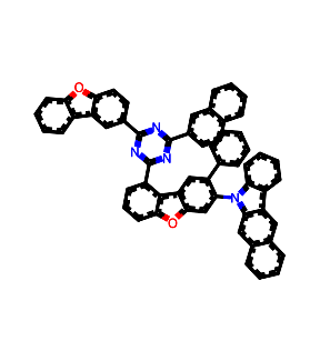 c1ccc(-c2cc3c(cc2-n2c4ccccc4c4cc5ccccc5cc42)oc2cccc(-c4nc(-c5ccc6ccccc6c5)nc(-c5ccc6oc7ccccc7c6c5)n4)c23)cc1